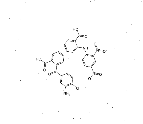 Nc1cc(C(=O)c2ccccc2C(=O)O)ccc1Cl.O=C(O)c1ccccc1Nc1ccc([N+](=O)[O-])cc1[N+](=O)[O-]